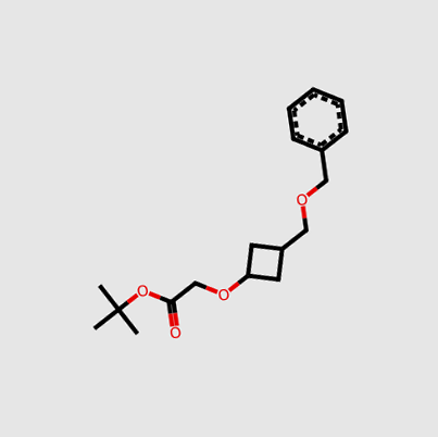 CC(C)(C)OC(=O)COC1CC(COCc2ccccc2)C1